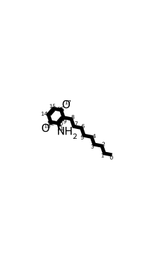 CCCCCCCCCC1=C(N)C(=O)C=CC1=O